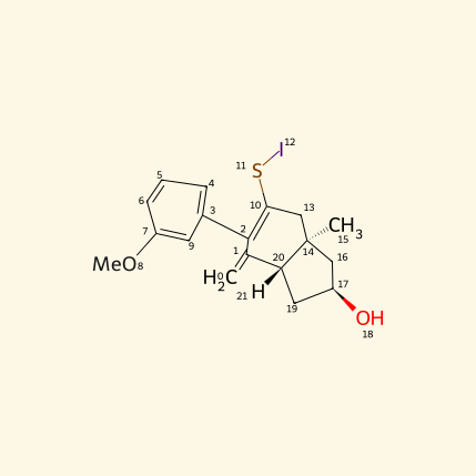 C=C1C(c2cccc(OC)c2)=C(SI)C[C@@]2(C)C[C@@H](O)C[C@H]12